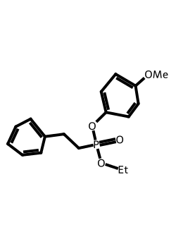 CCOP(=O)(CCc1ccccc1)Oc1ccc(OC)cc1